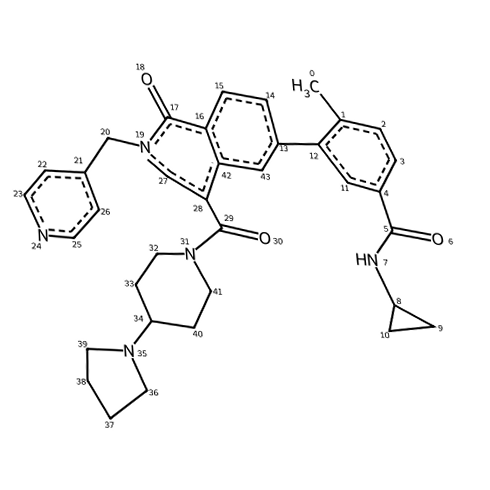 Cc1ccc(C(=O)NC2CC2)cc1-c1ccc2c(=O)n(Cc3ccncc3)cc(C(=O)N3CCC(N4CCCC4)CC3)c2c1